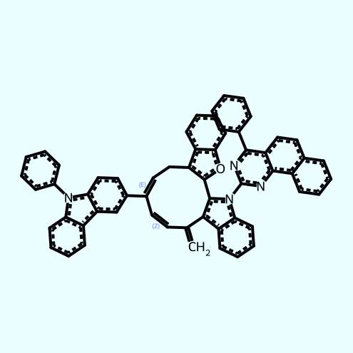 C=C1/C=C\C(c2ccc3c(c2)c2ccccc2n3-c2ccccc2)=C/Cc2c(oc3ccccc23)-c2c1c1ccccc1n2-c1nc(-c2ccccc2)c2ccc3ccccc3c2n1